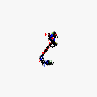 CNc1nc(Nc2ccc(C(=O)N3CCN(CCOCCOCCOCCOCCOc4cc(-c5scnc5C)ccc4CNC(=O)[C@H]4C[C@@H](O)CN4C(=O)C(NC(=O)C4(F)CC4)C(C)(C)C)CC3)cc2OC)ncc1Cl